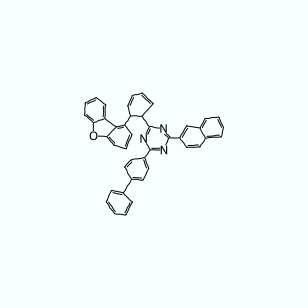 C1=CC(c2nc(-c3ccc(-c4ccccc4)cc3)nc(-c3ccc4ccccc4c3)n2)C(c2cccc3oc4ccccc4c23)C=C1